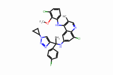 BC(Nc1cc(Cl)c2ncc(C#N)c(Nc3cccc(Cl)c3OC(F)(F)F)c2c1)(c1ccc(F)cc1)c1cn(C2CC2)nn1